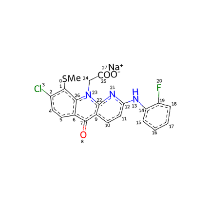 CSc1c(Cl)ccc2c(=O)c3ccc(Nc4ccccc4F)nc3n(CC(=O)[O-])c12.[Na+]